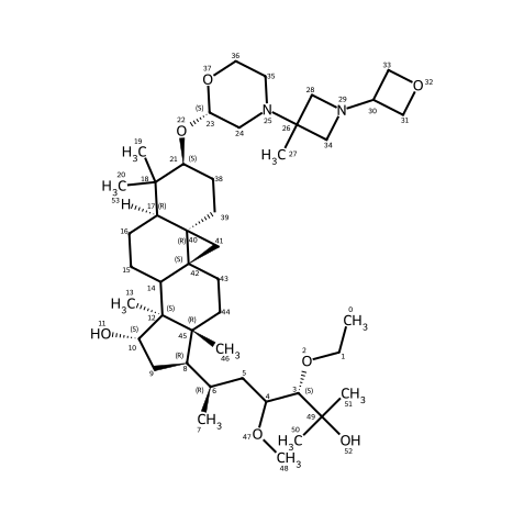 CCO[C@@H](C(C[C@@H](C)[C@H]1C[C@H](O)[C@@]2(C)C3CC[C@H]4C(C)(C)[C@@H](O[C@H]5CN(C6(C)CN(C7COC7)C6)CCO5)CC[C@@]45C[C@@]35CC[C@]12C)OC)C(C)(C)O